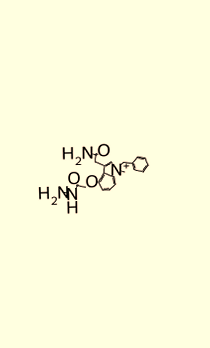 C[N+]1(Cc2ccccc2)C=C(CC(N)=O)c2c(OCC(=O)NN)cccc21